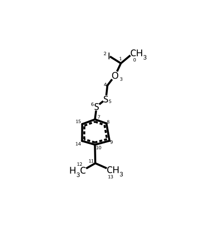 CC(I)OCSSc1ccc(C(C)C)cc1